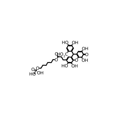 O=C(CCc1cc2c(c(O)c1O)OC1=C(C=C(O)C(=O)C1O)C2c1cc(O)c(O)cc1C(=O)O)OCCCCCCOP(=O)(O)O